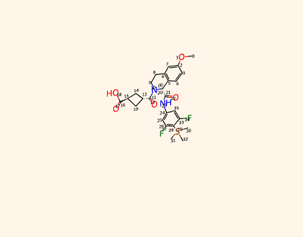 COc1ccc2c(c1)CCN(C(=O)[C@H]1C[C@H](C(=O)O)C1)[C@H]2C(=O)Nc1cc(F)c(S(C)(C)C)c(F)c1